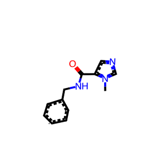 Cn1cncc1C(=O)NCc1cc[c]cc1